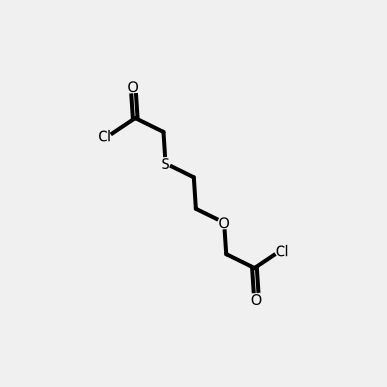 O=C(Cl)COCCSCC(=O)Cl